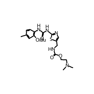 Cc1ccc(NC(=O)Nc2ncc(CNC(=O)OCCN(C)C)s2)c(OCC(C)C)c1